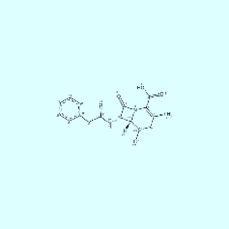 CC1=C(C(=O)O)N2C(=O)[C@@H](NC(=O)Cc3ccccc3)[C@H]2[S+]([O-])C1